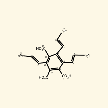 CCC/C=C/c1c(/C=C/CCC)c(C(=O)O)c(C(=O)O)c(/C=C/CCC)c1C(=O)O